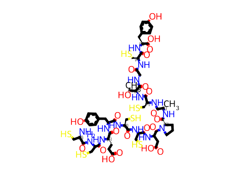 C[C@H](NC(=O)[C@@H]1CCCN1C(=O)C(CC(=O)O)NC(=O)C(CS)NC(=O)[C@H](CS)NC(=O)C(Cc1ccc(O)cc1)NC(=O)[C@H](CCC(=O)O)NC(=O)C(CS)NC(=O)[C@@H](N)CS)C(=O)N[C@@H](CS)C(=O)N[C@H](C(=O)NCC(=O)N[C@@H](CS)C(=O)N[C@@H](Cc1ccc(O)cc1)C(=O)O)[C@@H](C)O